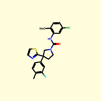 COc1ccc(Cl)cc1NC(=O)N1CCC(c2ccc(C)c(F)c2)(c2nccs2)C1